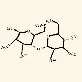 CC(=O)OCC1O[C@@H](O[C@H]2C(COC(C)=O)O[C@H](OC(C)=O)C(OC(C)=O)C2OC(C)=O)C(OC(C)=O)C(OC(C)=O)[C@H]1OC(C)=O